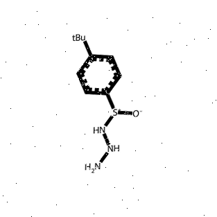 CC(C)(C)c1ccc([S+]([O-])NNN)cc1